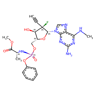 C#C[C@@]1(F)[C@H](O)[C@@H](CO[P@@](=O)(N[C@H](C)C(=O)OC)Oc2ccccc2)O[C@H]1n1cnc2c(NC)nc(N)nc21